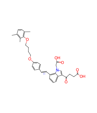 Cc1ccc(C)c(OCCCCOc2ccc(/C=C/c3cccc4c(C(=O)CCC(=O)O)cn(CC(=O)O)c34)cc2)c1C